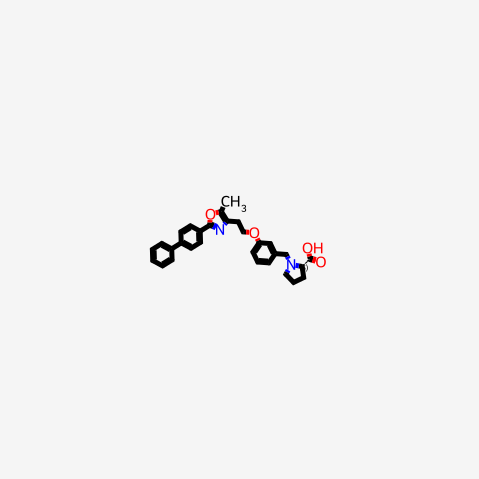 Cc1oc(-c2ccc(-c3ccccc3)cc2)nc1CCOc1cccc(CN2CCC[C@H]2C(=O)O)c1